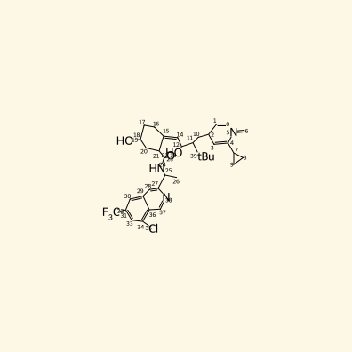 C=CC(/C=C(\N=C)C1CC1)CC(C(O)/C=C1/CCC(O)CC1C(=O)NC(C)c1cc2cc(C(F)(F)F)cc(Cl)c2cn1)C(C)(C)C